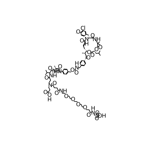 COc1ccc(C[C@H]2NC(=O)/C=C/C[C@@H]([C@H](C)[C@H]3O[C@@H]3c3ccc(CNC(=O)OCc4ccc(NC(=O)[C@H](C)NC(=O)[C@@H](NC(=O)CCN(CCC(=O)O)C(=O)CCC(=O)NCCOCCOCCOCCOCCC(=O)NCS(=O)(=O)O)C(C)C)cc4)cc3)OC(=O)[C@H](CC(C)C)OC(=O)C(C)(C)CNC2=O)cc1Cl